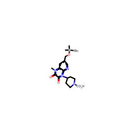 Cn1c(=O)c(=O)n(C2CCN(C(=O)O)CC2)c2ncc(CO[Si](C)(C)C(C)(C)C)cc21